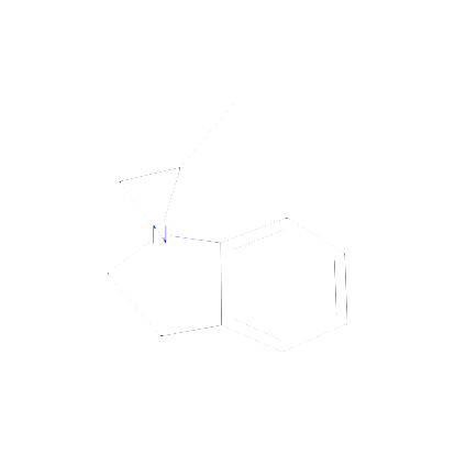 CC1C[N+]12CCc1ccccc12